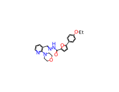 CCOc1ccc(-c2ccc(C(=O)NN=Cc3cccnc3N3CCOCC3)o2)cc1